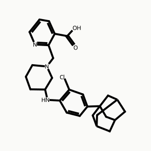 O=C(O)c1cccnc1CN1CCCC(Nc2ccc(C34CC5CC(CC(C5)C3)C4)cc2Cl)C1